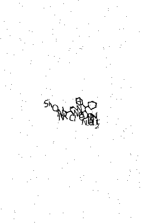 CCn1ncc(C(C(=O)Nc2ccc(-c3c(C)nn(COCC[Si](C)(C)C)c3C)c(Cl)n2)C(C2CCCCC2)C2CCCCC2)c1C(N)=O